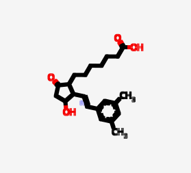 Cc1cc(C)cc(/C=C/C2C(O)CC(=O)C2CCCCCCC(=O)O)c1